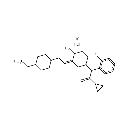 Cl.Cl.O=C(O)CC1CCN(CC=C2CN(C(C(=O)C3CC3)c3ccccc3F)CCC2S)CC1